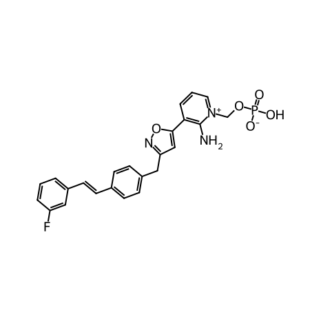 Nc1c(-c2cc(Cc3ccc(C=Cc4cccc(F)c4)cc3)no2)ccc[n+]1COP(=O)([O-])O